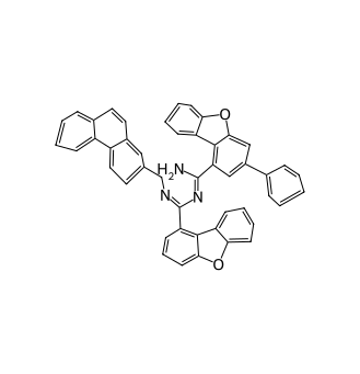 N/C(=N\C(=N/Cc1ccc2c(ccc3ccccc32)c1)c1cccc2oc3ccccc3c12)c1cc(-c2ccccc2)cc2oc3ccccc3c12